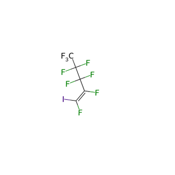 FC(I)=C(F)C(F)(F)C(F)(F)C(F)(F)F